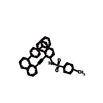 Cc1ccc(S(=O)(=O)Nc2ccc3ccccc3c2C#Cc2cccc3cccc(-c4ccc(-c5ccccc5)cc4)c23)cc1